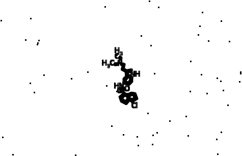 CCN(CC)CCc1c[nH]c2ccc(NS(=O)(=O)c3cccc4c(Cl)cccc34)cc12